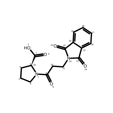 O=C(O)[C@@H]1CCCN1C(=O)CCN1C(=O)c2ccccc2C1=O